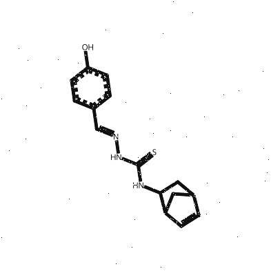 Oc1ccc(/C=N/NC(=S)NC2CC3C=CC2C3)cc1